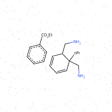 CCCC1(CN)C=CC=CC1CN.CCOC(=O)c1ccccc1